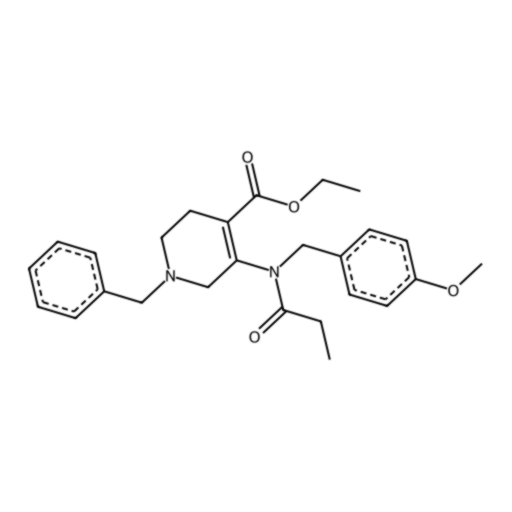 CCOC(=O)C1=C(N(Cc2ccc(OC)cc2)C(=O)CC)CN(Cc2ccccc2)CC1